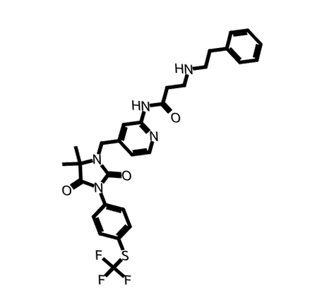 CC1(C)C(=O)N(c2ccc(SC(F)(F)F)cc2)C(=O)N1Cc1ccnc(NC(=O)CCNCCc2ccccc2)c1